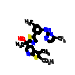 Cc1cc(Nc2nccc(C(F)(F)F)n2)cc(-c2cnc(C(C)(O)c3cnc4sc(C(=O)O)c(C)c4c3)s2)c1